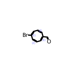 O=CC1=C/C=C\C(Br)=C/C=C\1